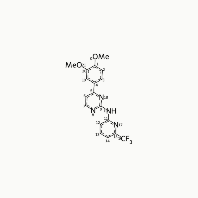 COc1ccc(-c2ccnc(Nc3cccc(C(F)(F)F)n3)n2)cc1OC